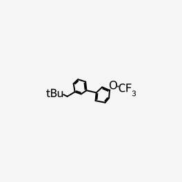 CC(C)(C)Cc1cccc(-c2cccc(OC(F)(F)F)c2)c1